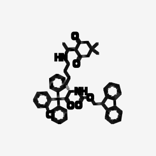 CC(NCCCC[C@H](NC(=O)OCC1c2ccccc2-c2ccccc21)C(=O)C(c1ccccc1)(c1ccccc1)c1ccccc1Cl)=C1C(=O)CC(C)(C)CC1=O